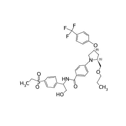 CCCOC[C@@H]1C[C@@H](Oc2ccc(C(F)(F)F)cc2)CN1c1ccc(C(=O)NC(CO)c2ccc(S(=O)(=O)CC)cc2)cc1